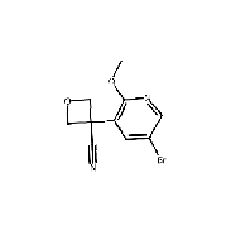 COc1ncc(Br)cc1C1(C#N)COC1